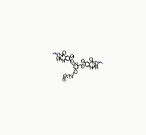 C/C=C1\C[C@H]2C=Nc3cc(OCc4cc(OCCN(C)CC(C)(C)SSC)cc(COc5cc6c(cc5OC)C(=O)N5C/C(=C/C)C[C@H]5C=N6)n4)c(OC)cc3C(=O)N2C1